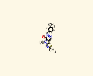 Cc1cccc(Cn2ncc3c4sc(C)nc4n(C)c3c2=O)c1